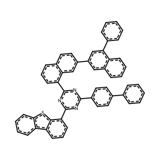 c1ccc(-c2ccc(-c3nc(-c4cccc5ccc(-c6cc(-c7ccccc7)c7ccccc7c6)cc45)nc(-c4cccc5c4sc4ccccc45)n3)cc2)cc1